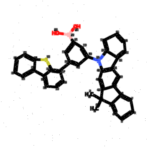 CC1(C)c2ccccc2-c2cc3c4ccccc4n(-c4cc(B(O)O)cc(-c5cccc6c5sc5ccccc56)c4)c3cc21